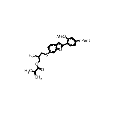 C=C(C)C(=O)OCC(CSc1ccc2cc(-c3ccc(CCCCC)cc3OC)oc2c1)C(F)(F)F